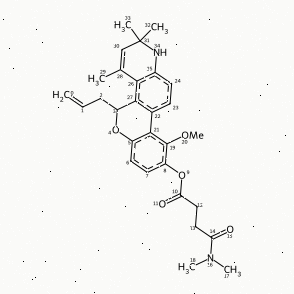 C=CCC1Oc2ccc(OC(=O)CCC(=O)N(C)C)c(OC)c2-c2ccc3c(c21)C(C)=CC(C)(C)N3